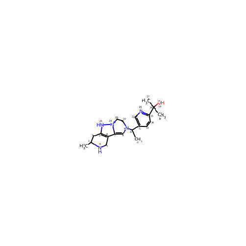 CC1CC2=C(CN1)C1=CN(C(C)c3ccc(C(C)(C)O)nc3)CCN1N2